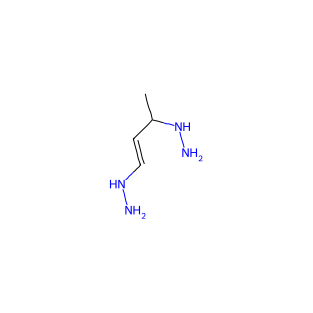 CC(C=CNN)NN